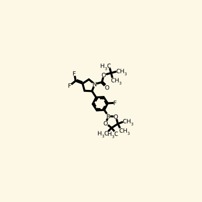 CC(C)(C)OC(=O)N1CC(=C(F)F)CC1c1ccc(B2OC(C)(C)C(C)(C)O2)c(F)c1